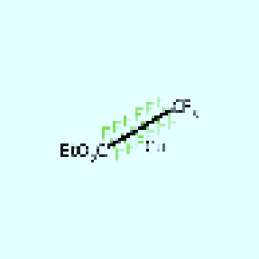 CCOC(=O)C(F)(F)C(F)(F)C(F)(F)C(F)(F)C(F)(F)C(F)(F)C(F)(F)F.[Cu]